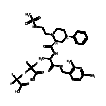 Cc1nc(N)ccc1CNC(=O)C(C)NC(=O)[C@H]1C[C@@H](c2ccccc2)CCN1CCNS(C)(=O)=O.O=C(O)C(F)(F)F.O=C(O)C(F)(F)F